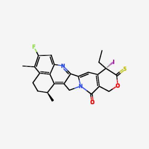 CC[C@@]1(I)C(=S)OCc2c1cc1n(c2=O)Cc2c-1nc1cc(F)c(C)c3c1c2[C@@H](C)CC3